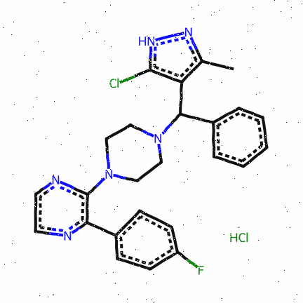 Cc1n[nH]c(Cl)c1C(c1ccccc1)N1CCN(c2nccnc2-c2ccc(F)cc2)CC1.Cl